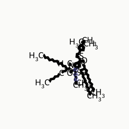 CCCCCCCCCCCCC(CCCCCCCCCC)CN(C)c1cc2c(c\c1=C(C=O)/C(S)=C/C=C/C(C)C)N(CC(CCCCCCCCCC)CCCCCCCCCCCC)C(=O)C=2c1ccc(-c2ccc(C(C)(C)C)cc2)s1